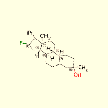 CC(C)C1[C@H](F)C[C@H]2[C@@H]3CCC4C[C@](C)(O)CC[C@@H]4[C@H]3CC[C@]12C